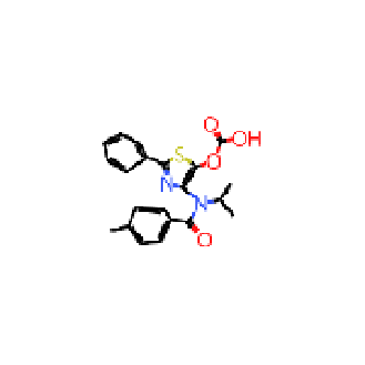 Cc1ccc(C(=O)N(c2nc(-c3ccccc3)sc2OC(=O)O)C(C)C)cc1